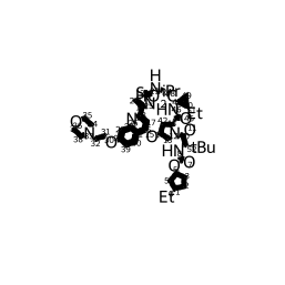 CC[C@@H]1CC[C@H](OC(=O)N[C@H](C(=O)N2C[C@H](Oc3cc(-c4csc(NC(C)C)n4)nc4cc(OCCN5CCOCC5)ccc34)C[C@H]2C(=O)N[C@]2(C(=O)O)C[C@H]2CC)C(C)(C)C)C1